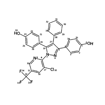 Oc1ccc(-c2nn(-c3ncc(C(F)(F)F)cc3Cl)c(-c3ccc(O)cc3)c2-c2ccccc2)cc1